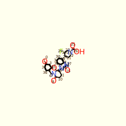 COc1ccc(CN2C(=O)CCC(n3c(=O)n(C)c4c([C@H]5CCN(C(=O)O)C[C@@H]5F)cccc43)C2=O)cc1